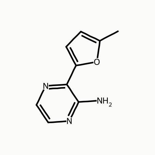 Cc1ccc(-c2nccnc2N)o1